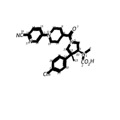 CN(C(=O)O)[C@@H]1CN(C(=O)C2CCN(c3ccc(C#N)nc3)CC2)C[C@@]1(C)c1ccc(Cl)cc1